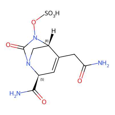 NC(=O)CC1=C[C@@H](C(N)=O)N2C[C@@H]1N(OS(=O)(=O)O)C2=O